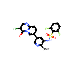 COc1ncc(-c2ccc3ncc(Cl)c(=O)n3c2)cc1NS(=O)(=O)c1c(F)cccc1F